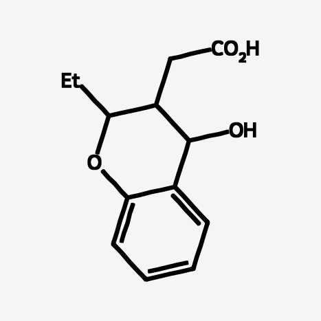 CCC1Oc2ccccc2C(O)C1CC(=O)O